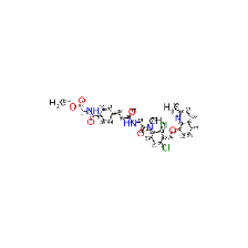 CCOC(=O)CNC(=O)c1ccc(/C=C/C(=O)NCC(=O)N(C)c2ccc(Cl)c(COc3cccc4ccc(C)nc34)c2Cl)cc1